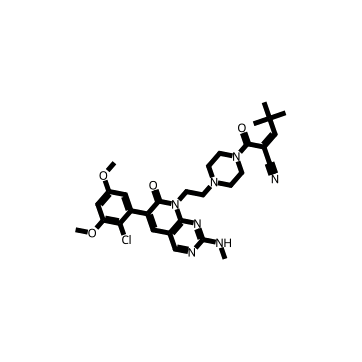 CNc1ncc2cc(-c3cc(OC)cc(OC)c3Cl)c(=O)n(CCN3CCN(C(=O)/C(C#N)=C\C(C)(C)C)CC3)c2n1